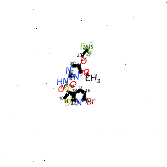 COc1nc(NS(=O)(=O)c2csc3nc(Br)ccc23)ncc1OCC(F)(F)F